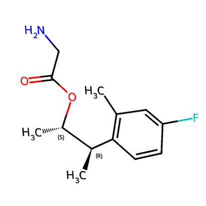 Cc1cc(F)ccc1[C@@H](C)[C@H](C)OC(=O)CN